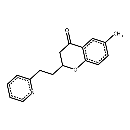 Cc1ccc2c(c1)C(=O)CC(CCc1ccccn1)O2